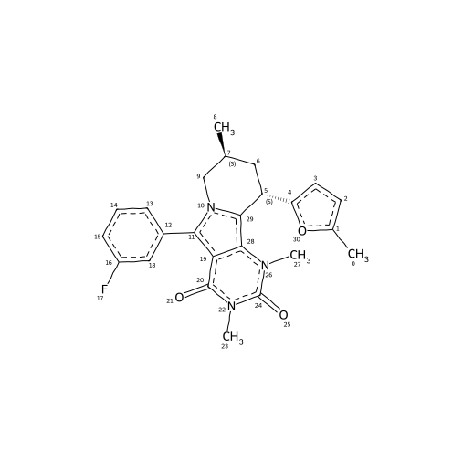 Cc1ccc([C@H]2C[C@H](C)Cn3c(-c4cccc(F)c4)c4c(=O)n(C)c(=O)n(C)c4c32)o1